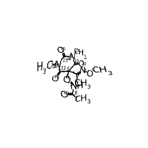 CON=C(C)C1(ONC(C)=O)C(=O)N(C)C(=O)N(C)C1=O